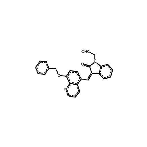 O=[C]CN1C(=O)C(=Cc2ccc(OCc3ccccc3)c3ncccc23)c2ccccc21